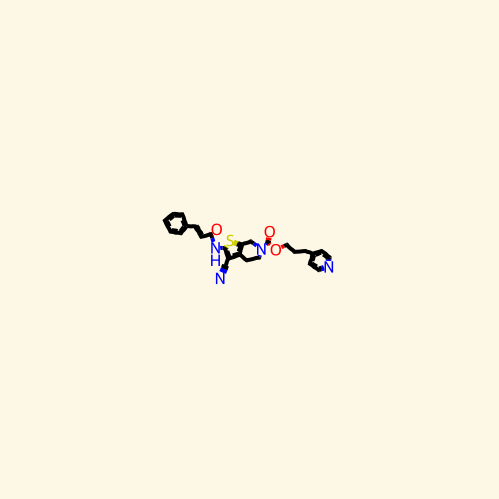 N#Cc1c(NC(=O)C=Cc2ccccc2)sc2c1CCN(C(=O)OCCCc1ccncc1)C2